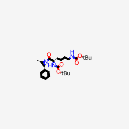 C[C@H]1[C@@H](c2ccccc2)N1C(=O)[C@H](CCCCNC(=O)OC(C)(C)C)NC(=O)OC(C)(C)C